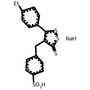 CCc1ccc(-c2ssc(=S)c2Cc2ccc(S(=O)(=O)O)cc2)cc1.[NaH]